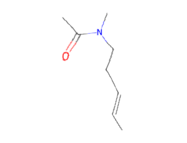 C/C=C/CCN(C)C(C)=O